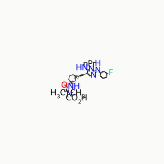 CCCNc1nc(Nc2cccc(F)c2)ncc1C#C[C@@H]1CCC[C@H](NC(=O)[C@H](C)N(C)C(=O)O)C1